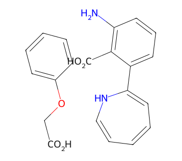 Nc1cccc(C2=CC=CC=CN2)c1C(=O)O.O=C(O)COc1ccccc1